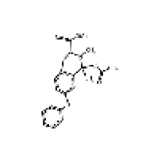 COC(=O)C1Cc2ccc(Oc3ccccc3)cc2C(C)(OC(=O)C=O)N1C